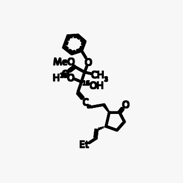 CC/C=C/[C@H]1CCC(=O)[C@@H]1CC=C=CC([16OH])([16OH])C(C)(Oc1ccccc1)C(=O)OC